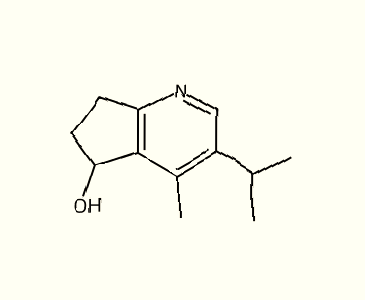 Cc1c(C(C)C)cnc2c1C(O)CC2